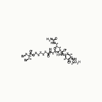 NC(=O)NCCCC(NC(=O)CNC(=O)CCCCCOC(=O)C(CBr)CBr)C(=O)Nc1ccc(NC(=O)O)c(C(F)(F)F)c1